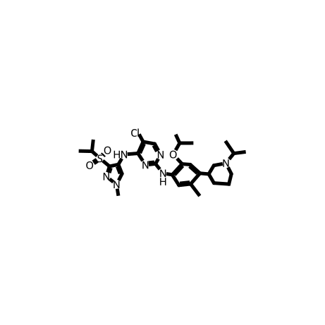 Cc1cc(Nc2ncc(Cl)c(Nc3cn(C)nc3S(=O)(=O)C(C)C)n2)c(OC(C)C)cc1C1CCCN(C(C)C)C1